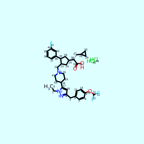 CCn1nc(Cc2ccc(OC(F)F)cc2)cc1C1CCN(CC2CC([C@H](CC3CC3)C(=O)O)CC2c2cccc(F)c2)CC1.Cl.Cl